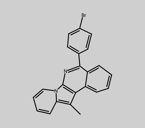 Cc1c2c3ccccc3c(-c3ccc(Br)cc3)nc2n2ccccc12